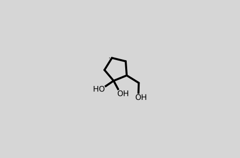 OCC1C[CH]CC1(O)O